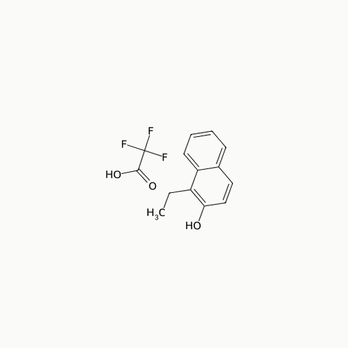 CCc1c(O)ccc2ccccc12.O=C(O)C(F)(F)F